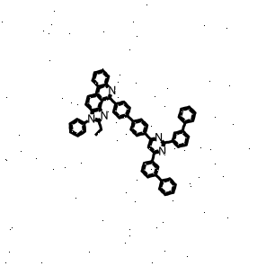 CCc1nc2c3c(-c4ccc(-c5ccc(-c6cc(-c7cccc(-c8ccccc8)c7)nc(-c7cccc(-c8ccccc8)c7)n6)cc5)cc4)nc4ccccc4c3ccc2n1-c1ccccc1